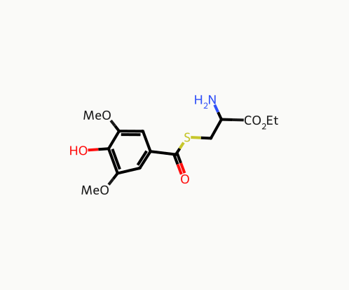 CCOC(=O)C(N)CSC(=O)c1cc(OC)c(O)c(OC)c1